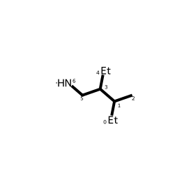 CCC(C)C(CC)C[NH]